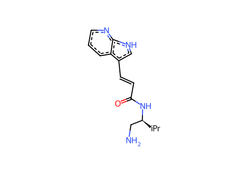 CC(C)[C@@H](CN)NC(=O)C=Cc1c[nH]c2ncccc12